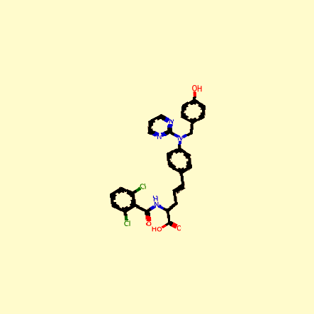 O=C(NC(C/C=C/c1ccc(N(Cc2ccc(O)cc2)c2ncccn2)cc1)C(=O)O)c1c(Cl)cccc1Cl